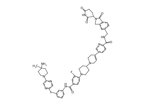 CC1(N)CCN(c2cnc(Sc3cccc(NC(=O)c4ccc(N5CCC(N6CC=C(c7ccc(C(=O)NCc8ccc9c(c8)CN(C8CCC(=O)NC8=O)C9=O)nc7)CC6)CC5)c(F)c4)c3)cn2)CC1